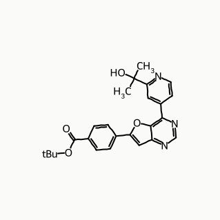 CC(C)(C)OC(=O)c1ccc(-c2cc3ncnc(-c4ccnc(C(C)(C)O)c4)c3o2)cc1